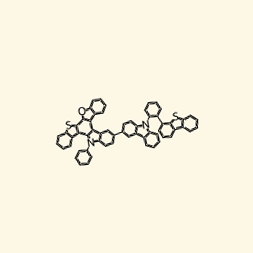 c1ccc(-n2c3ccc(-c4ccc5c(c4)c4ccccc4n5-c4ccccc4-c4cccc5c4sc4ccccc45)cc3c3c4c5ccccc5oc4c4sc5ccccc5c4c32)cc1